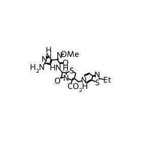 CCC1N=C2C=CN(CC3=C(C(=O)O)N4C(=O)C(NC(=O)/C(=N\OC)c5cc(N)n[nH]5)[C@H]4SC3)C=C2S1